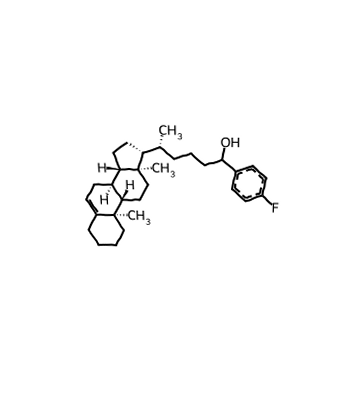 C[C@H](CCCC(O)c1ccc(F)cc1)[C@H]1CC[C@H]2[C@@H]3CC=C4CCCC[C@]4(C)[C@H]3CC[C@]12C